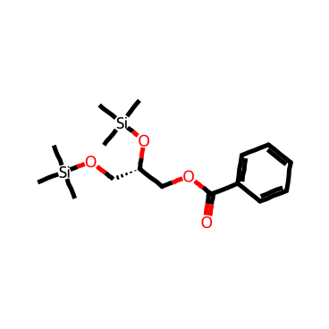 C[Si](C)(C)OC[C@@H](COC(=O)c1ccccc1)O[Si](C)(C)C